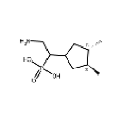 C[C@H]1CC(C(CN)P(=O)(O)O)C[C@@H]1C